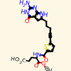 CCC(C)OC(=O)C(CCC(=O)O)NC(=O)c1ccc(C#CCCCc2cc3c(=O)[nH]c(N)nc3[nH]2)s1